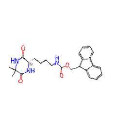 CC1(C)NC(=O)[C@H](CCCCNC(=O)OCC2c3ccccc3-c3ccccc32)NC1=O